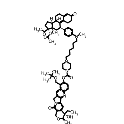 C=C1OCc2c(cc3n(c2=O)Cc2cc4c(COC(C)(C)C)c(OC(=O)N5CCN(CCCCCCN(C)c6ccc([C@H]7C[C@@]8(C)[C@@H](CC[C@]8(OC(C)=O)C(C)=O)[C@@H]8CCC9=CC(=O)CCC9=C87)cc6)CC5)ccc4nc2-3)[C@@]1(O)CC